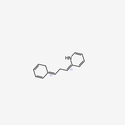 C1=CC/C(=C\C/C=C2/C=CC=CN2)C=C1